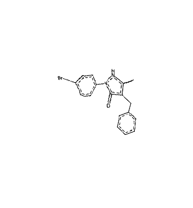 Cc1[nH]n(-c2ccc(Br)cc2)c(=O)c1Cc1ccccc1